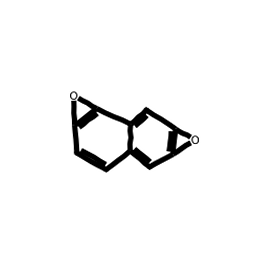 c1cc2oc2c2cc3oc3cc12